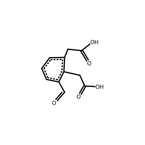 O=Cc1cccc(CC(=O)O)c1CC(=O)O